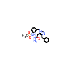 CS(=O)(=O)Nc1cccc(Cn2cnc(Cc3ccccc3)c2CC(N)=O)c1